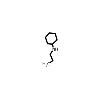 [CH2]CCNC1CCCCC1